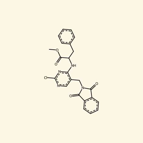 COC(=O)C(Cc1ccccc1)Nc1nc(Cl)ncc1CN1C(=O)c2ccccc2C1=O